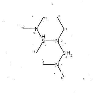 CCN([SiH2]N(C)C)[SiH](C)N(C)C